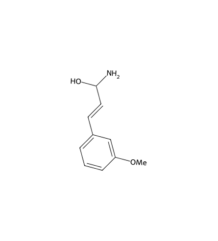 COc1cccc(C=CC(N)O)c1